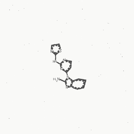 Nc1nc2ccccc2n1-c1ccnc(Nc2nccs2)n1